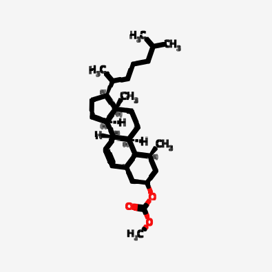 COC(=O)OC1CC2C=C[C@@H]3[C@H]4CC[C@@H](C(C)CCCC(C)C)[C@]4(C)CC[C@H]3C2[C@@H](C)C1